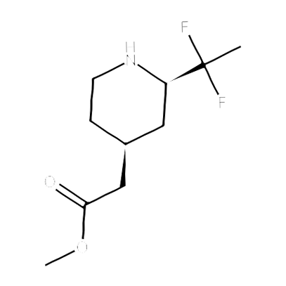 COC(=O)C[C@H]1CCN[C@@H](C(C)(F)F)C1